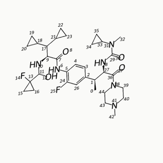 C[C@@H](c1ccc(NC(=O)[C@@H](NC(O)C2(F)CC2)C(C2CC2)C2CC2)c(F)c1)[C@@H](NC(=O)N(C)C1CC1)C(=O)N1CCN(C)CC1